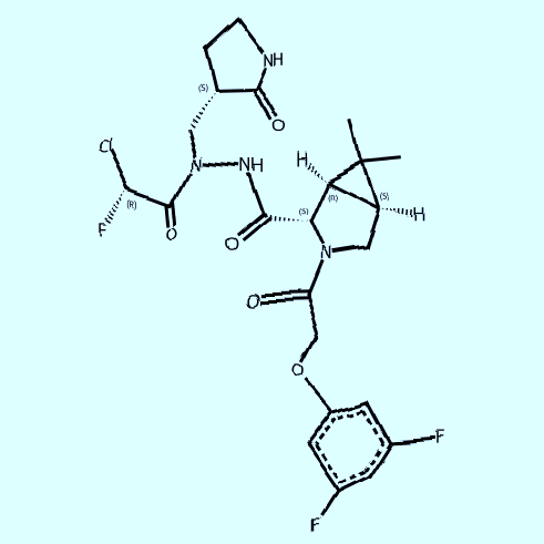 CC1(C)[C@@H]2[C@@H](C(=O)NN(C[C@@H]3CCNC3=O)C(=O)[C@H](F)Cl)N(C(=O)COc3cc(F)cc(F)c3)C[C@@H]21